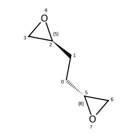 C(C[C@H]1CO1)[C@@H]1CO1